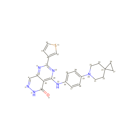 O=c1[nH]ncc2nc(-c3ccsc3)nc(Nc3ccc(N4CCC5(CC4)CC5)cc3)c12